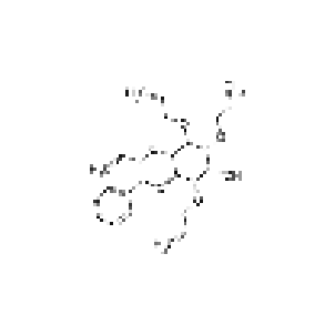 C=CCO[C@@H]1[C@@H](OCC=C)[C@H](OCC=C)[C@H](O)[C@H](OCC=C)[C@H]1OCc1ccccc1